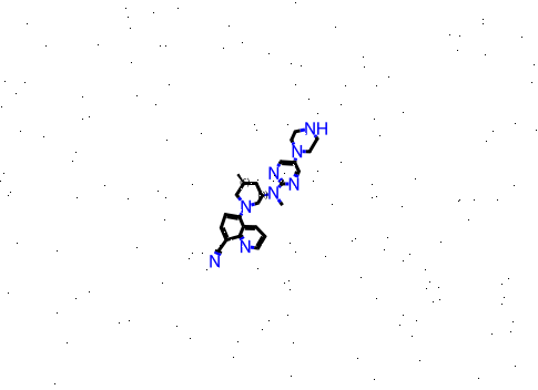 C[C@H]1C[C@@H](N(C)c2ncc(N3CCNCC3)cn2)CN(c2ccc(C#N)c3ncccc23)C1